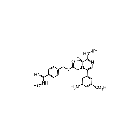 CC(C)Nc1ncc(-c2cc(N)cc(C(=O)O)c2)n(CC(=O)NCc2ccc(C(=N)NO)cc2)c1=O